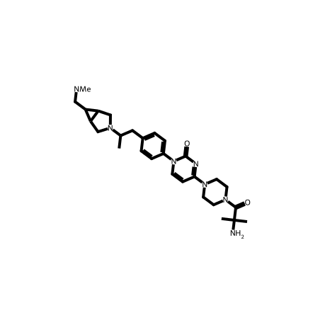 CNCC1C2CN(C(C)Cc3ccc(-n4ccc(N5CCN(C(=O)C(C)(C)N)CC5)nc4=O)cc3)CC12